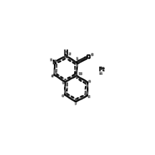 O=c1[nH]ncc2ccccc12.[Pt]